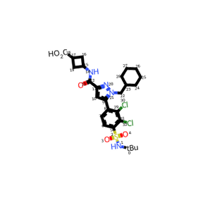 CC(C)(C)NS(=O)(=O)c1ccc(-c2cc(C(=O)NC3CC(C(=O)O)C3)nn2CC2CCCCC2)c(Cl)c1Cl